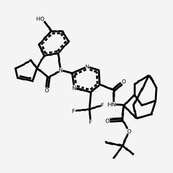 CC(C)(C)OC(=O)C1(NC(=O)c2cnc(N3C(=O)C4(C=CCC4)c4cc(O)ccc43)nc2C(F)(F)F)C2CC3CC(C2)CC1C3